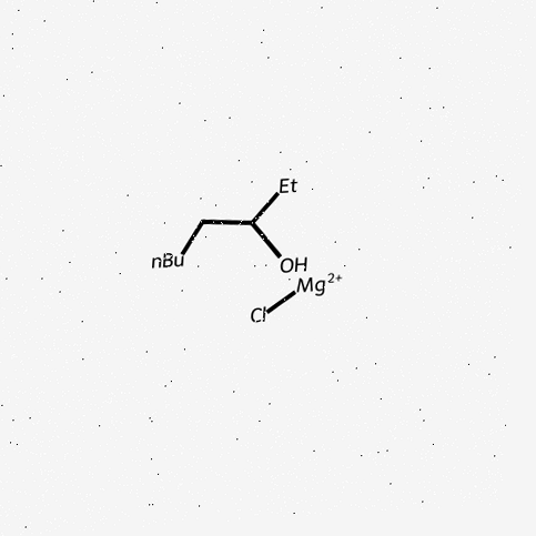 CCCCCC(O)CC.[Mg+2][Cl]